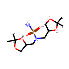 CC1(C)OCC(CN(CC2COC(C)(C)O2)S(N)(=O)=O)O1